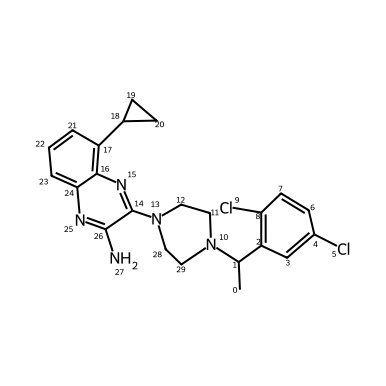 CC(c1cc(Cl)ccc1Cl)N1CCN(c2nc3c(C4CC4)cccc3nc2N)CC1